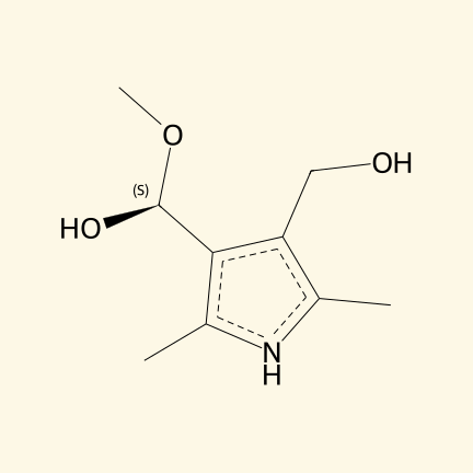 CO[C@H](O)c1c(C)[nH]c(C)c1CO